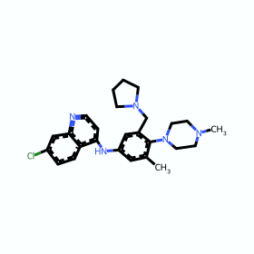 Cc1cc(Nc2ccnc3cc(Cl)ccc23)cc(CN2CCCC2)c1N1CCN(C)CC1